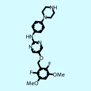 COc1cc(OC)c(F)c(COc2cnc(Nc3ccc(N4CCNCC4)cc3)nc2)c1F